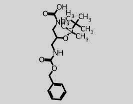 CC(C)(C)[Si](C)(C)OC(CNC(=O)O)CNC(=O)OCc1ccccc1